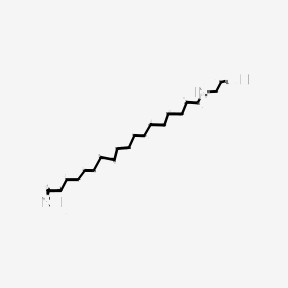 NC(=O)CCCCCCCCCCCCCCCCCNCCO